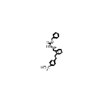 O=C(NNCC1C2CCC(O2)C1CCc1ccc(C(=O)O)cc1)OCc1ccccc1